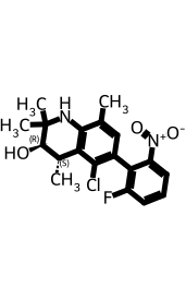 Cc1cc(-c2c(F)cccc2[N+](=O)[O-])c(Cl)c2c1NC(C)(C)[C@H](O)[C@H]2C